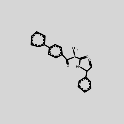 CN(C(=O)NC([C]=O)c1ccccc1)C(=O)c1ccc(-c2ccccc2)cc1